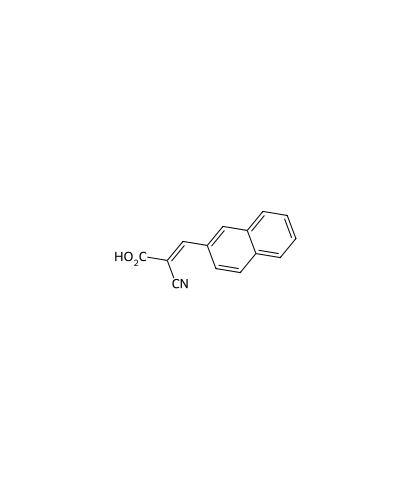 N#C/C(=C\c1ccc2ccccc2c1)C(=O)O